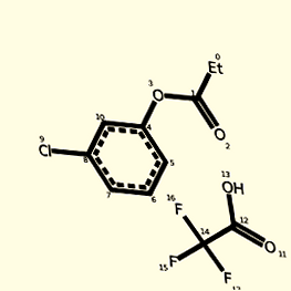 CCC(=O)Oc1cccc(Cl)c1.O=C(O)C(F)(F)F